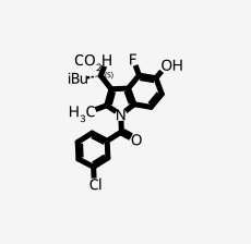 CCC(C)[C@H](C(=O)O)c1c(C)n(C(=O)c2cccc(Cl)c2)c2ccc(O)c(F)c12